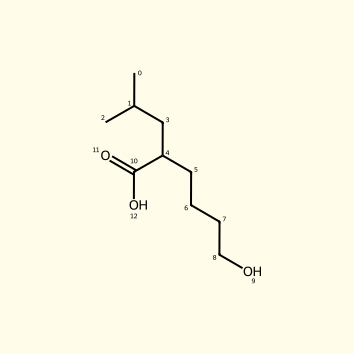 CC(C)CC(CCCCO)C(=O)O